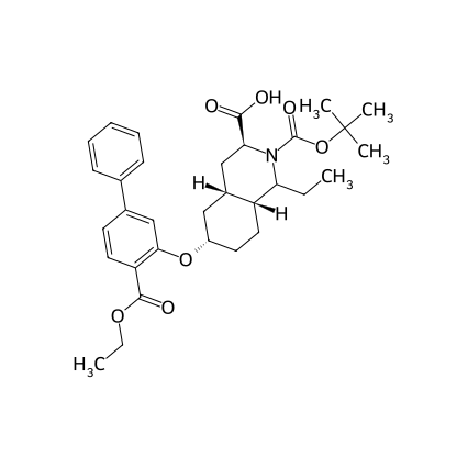 CCOC(=O)c1ccc(-c2ccccc2)cc1O[C@H]1CC[C@H]2C(CC)N(C(=O)OC(C)(C)C)[C@H](C(=O)O)C[C@H]2C1